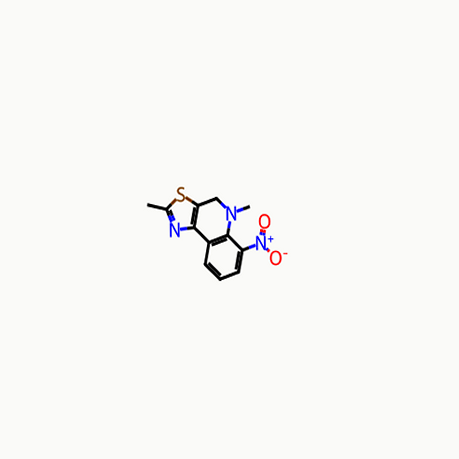 Cc1nc2c(s1)CN(C)c1c-2cccc1[N+](=O)[O-]